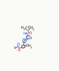 CCC(CC)C(=O)Nc1cncc(-n2cc(-c3cc(C(=O)NC4CC4)ccc3C)cn2)c1